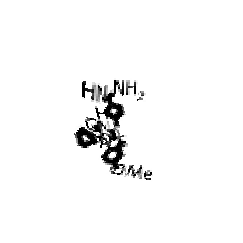 COc1ccc2nc([C@@H](Cc3ccc(C(=N)N)cc3)NS(=O)(=O)c3ccccc3)sc2c1